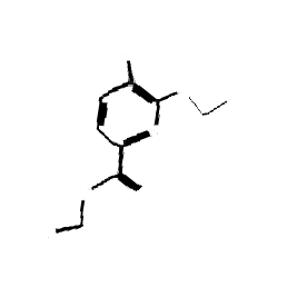 CCOC(=O)c1ccc(N)c(OCC)n1